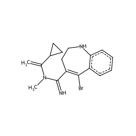 C=C(C1CC1)N(C)C(=N)C1=C(Br)c2ccccc2NCC1